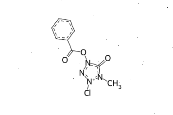 Cn1c(=O)n(OC(=O)c2ccccc2)n[n+]1Cl